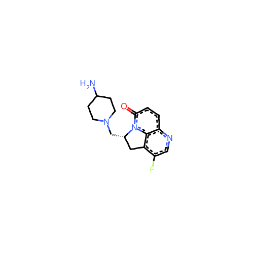 NC1CCN(C[C@H]2Cc3c(F)cnc4ccc(=O)n2c34)CC1